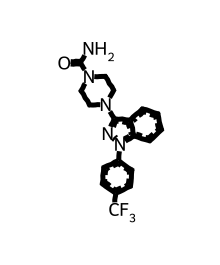 NC(=O)N1CCN(c2nn(-c3ccc(C(F)(F)F)cc3)c3ccccc23)CC1